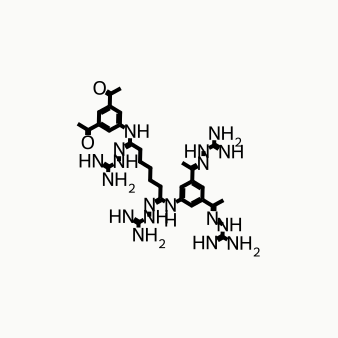 CC(=O)c1cc(NC(CCCCCC(=NNC(=N)N)Nc2cc(C(C)=NNC(=N)N)cc(C(C)=NNC(=N)N)c2)=NNC(=N)N)cc(C(C)=O)c1